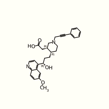 COc1ccc2nccc([C@H](O)CC[C@@H]3CCN(CC#Cc4ccccc4)C[C@@H]3CC(=O)O)c2c1